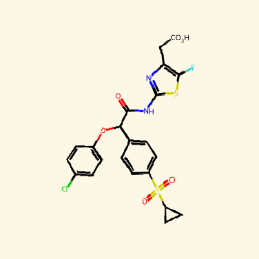 O=C(O)Cc1nc(NC(=O)C(Oc2ccc(Cl)cc2)c2ccc(S(=O)(=O)C3CC3)cc2)sc1F